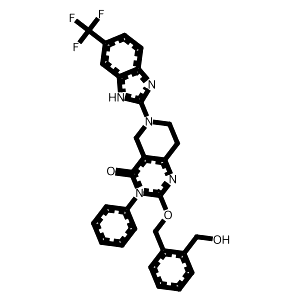 O=c1c2c(nc(OCc3ccccc3CO)n1-c1ccccc1)CCN(c1nc3ccc(C(F)(F)F)cc3[nH]1)C2